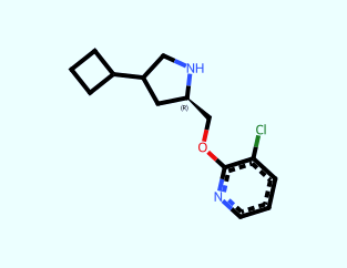 Clc1cccnc1OC[C@H]1CC(C2CCC2)CN1